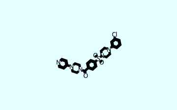 O=C(c1ccc(S(=O)(=O)N2CCN(c3cccc(Cl)c3)CC2)cc1)N1CCN(c2ccncc2)CC1